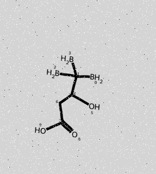 BC(B)(B)C(O)CC(=O)O